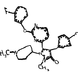 CN1CCC(n2c(-c3ccnc(Oc4cccc(F)c4)n3)c(-c3ccc(F)cc3)c(=O)n2C)CC1